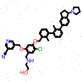 Cc1c(COc2cc(OCc3cncc(C#N)c3)c(CNCCO)cc2Cl)cccc1-c1cccc(-c2ccc3c(c2)CCC3N2CCCC2)c1C